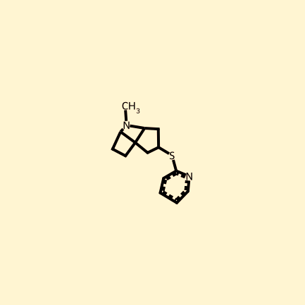 CN1C2CCC23CC(Sc2ccccn2)CC13